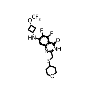 O=c1[nH]c(CSC2CCOCC2)nc2cc(N[C@H]3C[C@@H](OC(F)(F)F)C3)c(F)c(F)c12